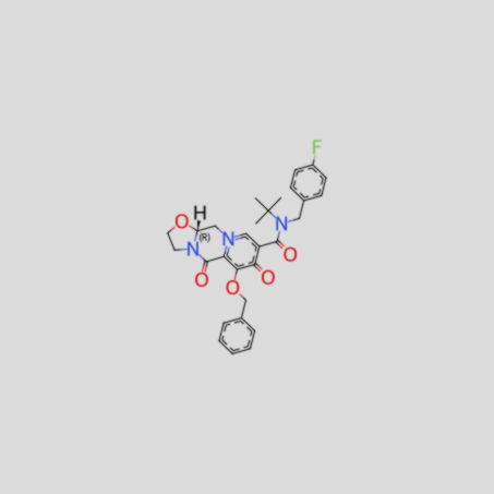 CC(C)(C)N(Cc1ccc(F)cc1)C(=O)c1cn2c(c(OCc3ccccc3)c1=O)C(=O)N1CCO[C@@H]1C2